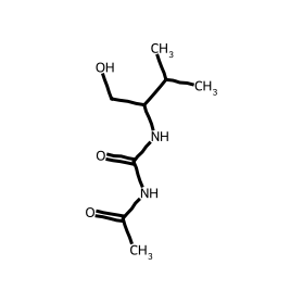 CC(=O)NC(=O)NC(CO)C(C)C